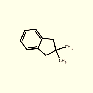 CC1(C)Cc2ccccc2S1